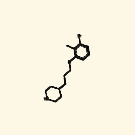 Cc1c(Br)cccc1OCCCC1CCNCC1